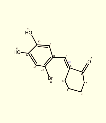 O=C1CCCC/C1=C\c1cc(O)c(O)cc1Br